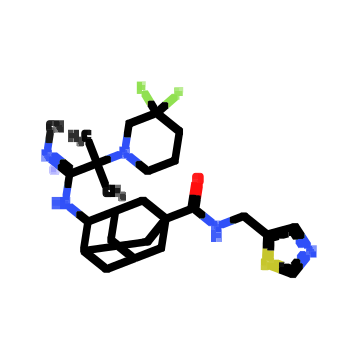 CC(C)(/C(=N\C#N)NC1C2CC3CC1CC(C(=O)NCc1cncs1)(C3)C2)N1CCCC(F)(F)C1